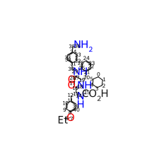 C1CCCCC1.CCOc1ccc(C[C@@H](NC(=O)O)C(=O)N[C@@H](Cc2ccccc2)C(=O)NCc2ccc(CN)cc2)cc1